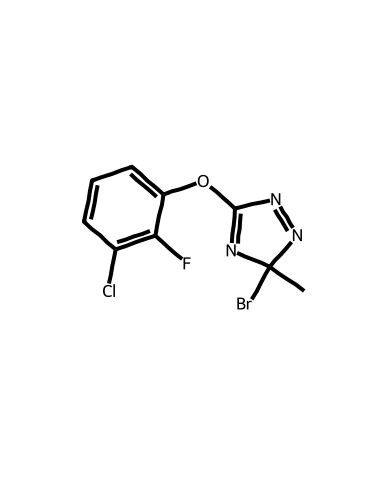 CC1(Br)N=NC(Oc2cccc(Cl)c2F)=N1